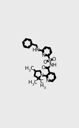 CC1CN(c2ncccc2C(=O)NS(=O)(=O)c2cccc(NCc3ccccc3)n2)C(C)(C)C1